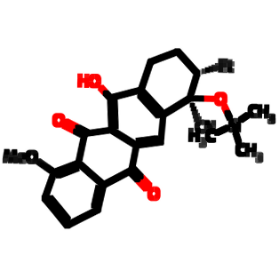 CC[C@H]1CCc2c(cc3c(c2O)C(=O)c2c(OC)cccc2C3=O)[C@]1(C#N)O[Si](C)(C)C